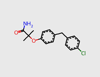 CC(C)(Oc1ccc(Cc2ccc(Cl)cc2)cc1)C(N)=O